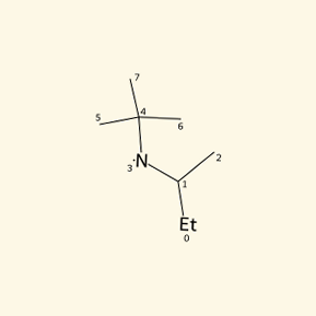 CCC(C)[N]C(C)(C)C